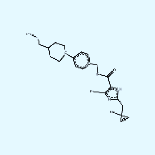 CCc1nc(CC2(Cl)C=C2)[nH]c1C(=O)NCc1ccc(N2CCC(COC(C)C)CC2)cc1